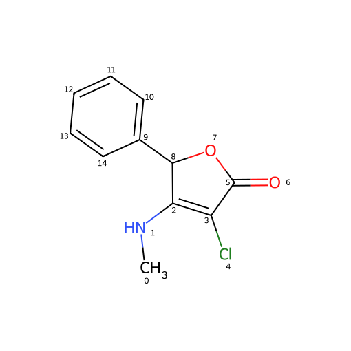 CNC1=C(Cl)C(=O)OC1c1ccccc1